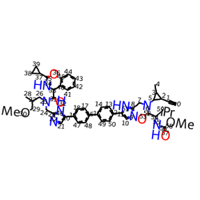 C#CC1C(C)C1N(Cc1ncc(-c2ccc(-c3ccc(-c4cnc(CN(CC(C)COC)C(=O)C(NC(=O)C5CC5)c5ccccc5)[nH]4)cc3)cc2)[nH]1)C(=O)C(NC(=O)OC)C(C)C